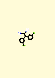 N#CC(C#N)=C(c1cccc(C(F)(F)F)c1)c1cccc(C(F)(F)F)c1